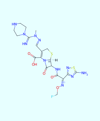 CN(N=CC1=C(C(=O)O)N2C(=O)C(NC(=O)/C(=N\OCF)c3nsc(N)n3)[C@@H]2SC1)C(=N)N1CCNCC1